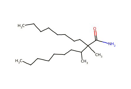 CCCCCCCCC(C)(C(N)=O)C(C)CCCCCCC